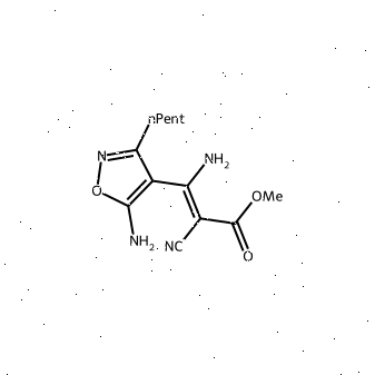 CCCCCc1noc(N)c1C(N)=C(C#N)C(=O)OC